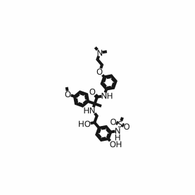 COc1ccc(C(C)(NCC(O)c2ccc(O)c(NS(C)(=O)=O)c2)C(=O)Nc2cccc(OCCN(C)C)c2)cc1